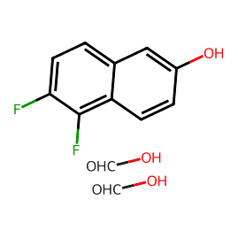 O=CO.O=CO.Oc1ccc2c(F)c(F)ccc2c1